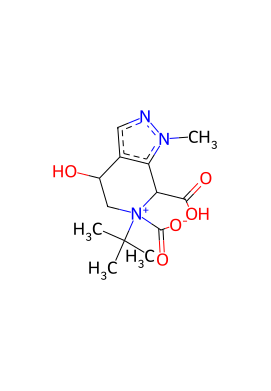 Cn1ncc2c1C(C(=O)O)[N+](C(=O)[O-])(C(C)(C)C)CC2O